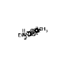 CCNC(=O)N1CCC(S(=O)(=O)c2ccc(C)cc2)CC1